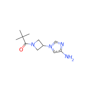 CC(C)(C)C(=O)N1CC(n2cnc(N)c2)C1